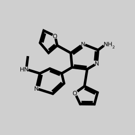 CNc1cc(-c2c(-c3ccco3)nc(N)nc2-c2ccco2)ccn1